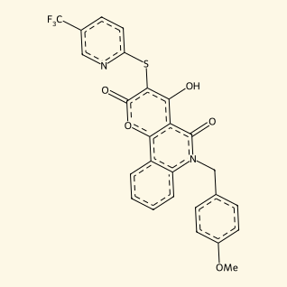 COc1ccc(Cn2c(=O)c3c(O)c(Sc4ccc(C(F)(F)F)cn4)c(=O)oc3c3ccccc32)cc1